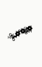 O=C1NC(=O)C(=Cc2ccc(Oc3ccc(S(=O)(=O)Nc4ccccc4Cl)cc3)cc2)S1